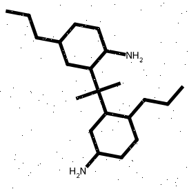 CCCC1CCC(N)C(C(C)(C)C2CC(N)CCC2CCC)C1